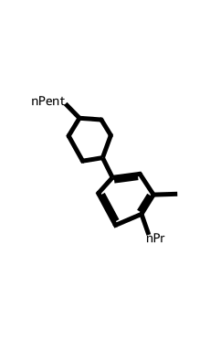 CCCCCC1CCC(c2ccc(CCC)c(C)c2)CC1